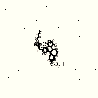 COc1cc(C2=C(c3ccc(C=C4CN(CCCF)C4)cc3)c3ccc(C(=O)O)cc3CCC2)c(F)cn1